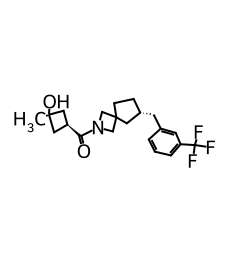 C[C@]1(O)C[C@@H](C(=O)N2CC3(CC[C@H](Cc4cccc(C(F)(F)F)c4)C3)C2)C1